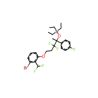 CC[Si](CC)(CC)OC(C)(c1ccc(F)cc1)C(F)(F)CCOc1cccc(Br)c1C(F)F